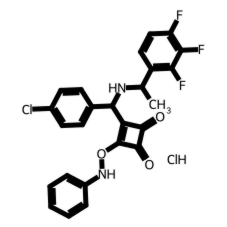 CC(NC(c1ccc(Cl)cc1)c1c(ONc2ccccc2)c(=O)c1=O)c1ccc(F)c(F)c1F.Cl